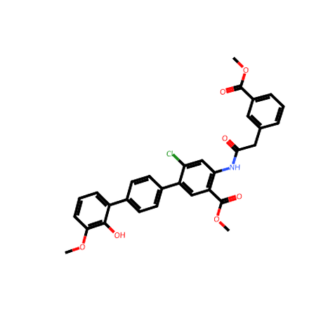 COC(=O)c1cccc(CC(=O)Nc2cc(Cl)c(-c3ccc(-c4cccc(OC)c4O)cc3)cc2C(=O)OC)c1